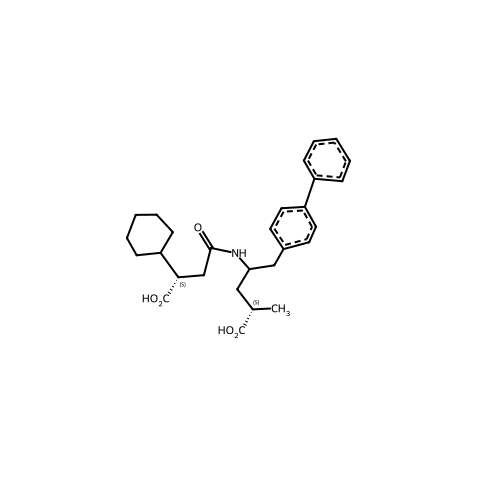 C[C@@H](CC(Cc1ccc(-c2ccccc2)cc1)NC(=O)C[C@H](C(=O)O)C1CCCCC1)C(=O)O